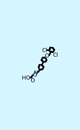 O=C(O)CO/N=C/c1ccc(-c2ccc(OCc3c(Cl)cccc3Cl)cc2)cc1